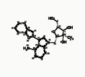 C[C@@]1(O)C(O)[C@@H](CO)O[C@H]1Cn1cc(-c2cc3ccccc3o2)c2c(N)ncnc21